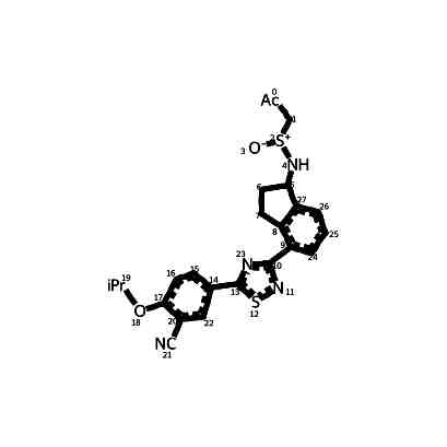 CC(=O)C[S+]([O-])NC1CCc2c(-c3nsc(-c4ccc(OC(C)C)c(C#N)c4)n3)cccc21